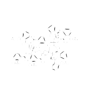 CC(=O)Oc1ccccc1COCC(COCCC(CCC(=O)c1ccccc1OC(C)=O)(COC(=O)c1ccccc1OC(C)=O)COC(=O)c1ccccc1OC(C)=O)(COCC(COC(=O)c1ccccc1OC(C)=O)(COC(=O)c1ccccc1OC(C)=O)COC(=O)c1ccccc1OC(C)=O)COC(=O)c1ccccc1OC(C)=O